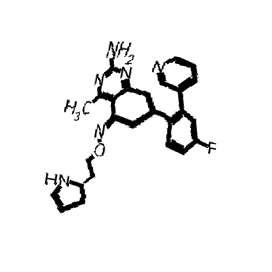 Cc1nc(N)nc2c1/C(=N/OCC[C@H]1CCCN1)CC(c1ccc(F)cc1-c1cccnc1)C2